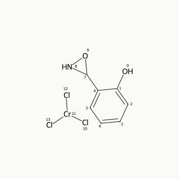 Oc1ccccc1C1NO1.[Cl][Cr]([Cl])[Cl]